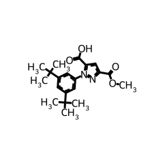 COC(=O)c1cc(C(=O)O)n(-c2cc(C(C)(C)C)cc(C(C)(C)C)c2)n1